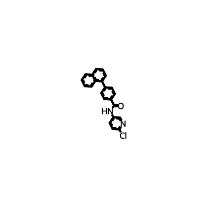 O=C(Nc1ccc(Cl)nc1)c1ccc(-c2cccc3ccccc23)cc1